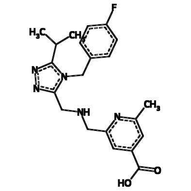 Cc1cc(C(=O)O)cc(CNCc2nnc(C(C)C)n2Cc2ccc(F)cc2)n1